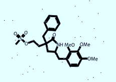 COc1ccc(CC2CC(CCOS(C)(=O)=O)(Cc3ccccc3)C(=O)N2)c(OC)c1OC